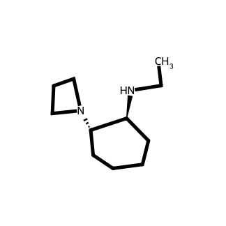 CCN[C@H]1CCCC[C@@H]1N1CCC1